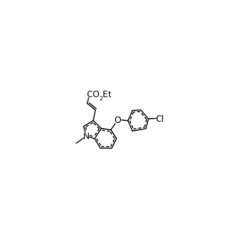 CCOC(=O)C=Cc1cn(C)c2cccc(Oc3ccc(Cl)cc3)c12